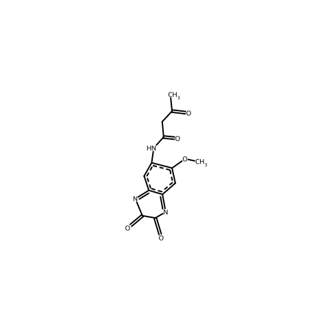 COc1cc2c(cc1NC(=O)CC(C)=O)=NC(=O)C(=O)N=2